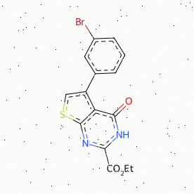 CCOC(=O)c1nc2scc(-c3cccc(Br)c3)c2c(=O)[nH]1